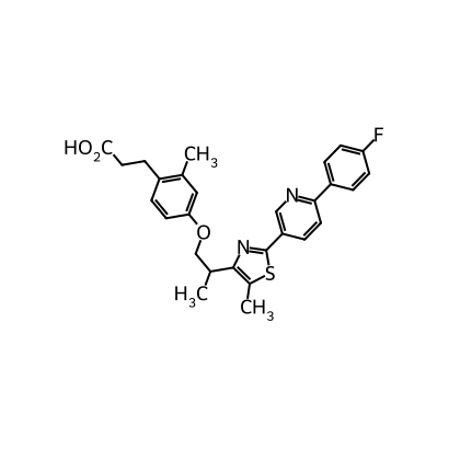 Cc1cc(OCC(C)c2nc(-c3ccc(-c4ccc(F)cc4)nc3)sc2C)ccc1CCC(=O)O